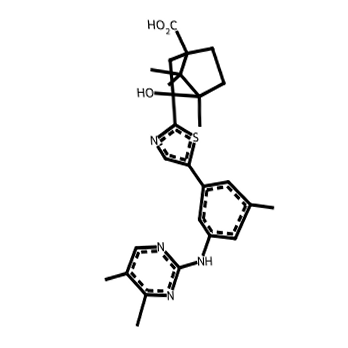 Cc1cc(Nc2ncc(C)c(C)n2)cc(-c2cnc(C3(O)CC4(C(=O)O)CCC3(C)C4(C)C)s2)c1